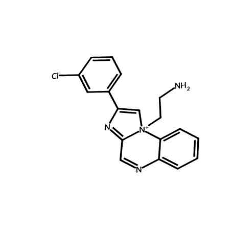 NCC[N+]12C=C(c3cccc(Cl)c3)N=C1C=Nc1ccccc12